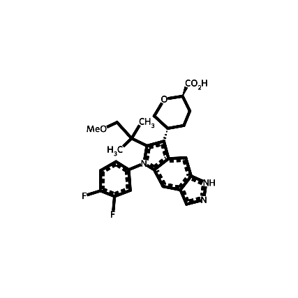 COCC(C)(C)c1c([C@H]2CC[C@H](C(=O)O)OC2)c2cc3[nH]ncc3cc2n1-c1ccc(F)c(F)c1